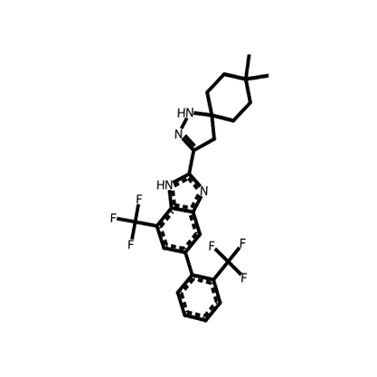 CC1(C)CCC2(CC1)CC(c1nc3cc(-c4ccccc4C(F)(F)F)cc(C(F)(F)F)c3[nH]1)=NN2